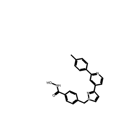 Cc1ccc(-c2cc(-c3ccn(Cc4ccc(C(=O)NO)cc4)n3)ccn2)cc1